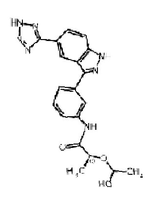 CC(O)O[C@@H](C)C(=O)Nc1cccc(-c2n[nH]c3ccc(-c4nn[nH]n4)cc23)c1